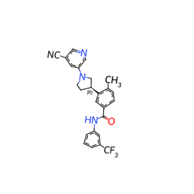 Cc1ccc(C(=O)Nc2cccc(C(F)(F)F)c2)cc1[C@H]1CCN(c2cncc(C#N)c2)C1